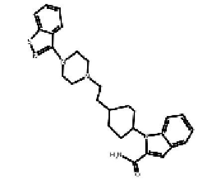 NC(=O)c1cc2ccccc2n1C1CCC(CCN2CCN(c3nsc4ccccc34)CC2)CC1